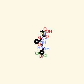 CC1(C)S[C@@H]2C(NC(=O)C(NC(=O)CNC(=N)c3cc(Cl)c(Br)c(Cl)c3)c3ccccc3)C(=O)N2[C@H]1C(=O)O